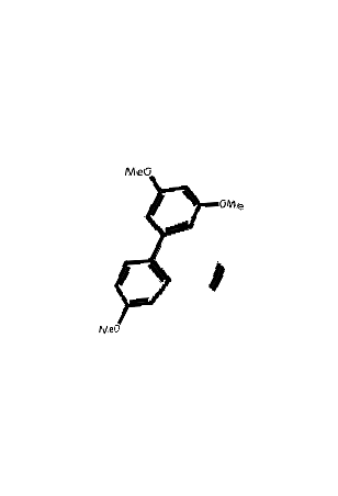 C=C.COc1ccc(-c2cc(OC)cc(OC)c2)cc1